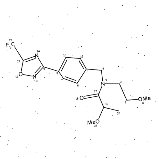 COCCN(Cc1ccc(-c2noc(C(F)(F)F)n2)cc1)C(=O)C(C)OC